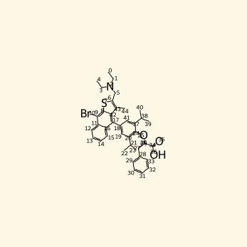 CCN(CC)Cc1sc2c(Br)c3ccccc3c(-c3cc(C(C)C)c(O[C@H](Cc4ccccc4)C(=O)O)c(C(C)C)c3)c2c1C